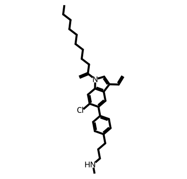 C=Cc1cn(C(=C)CCCCCCCCC)c2cc(Cl)c(-c3ccc(CCCNC)cc3)cc12